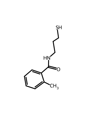 Cc1ccccc1C(=O)NCCCS